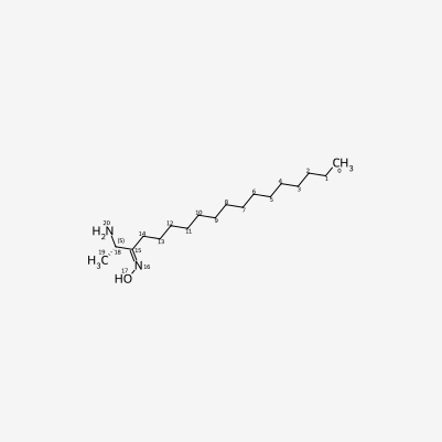 CCCCCCCCCCCCCCCC(=NO)[C@H](C)N